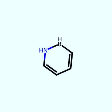 B1C=CC=CN1